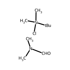 CC(C)(C)[Si](C)(C)Cl.CN(C)C=O